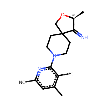 CCc1c(C)cc(C#N)nc1N1CCC2(CC1)CO[C@@H](C)C2=N